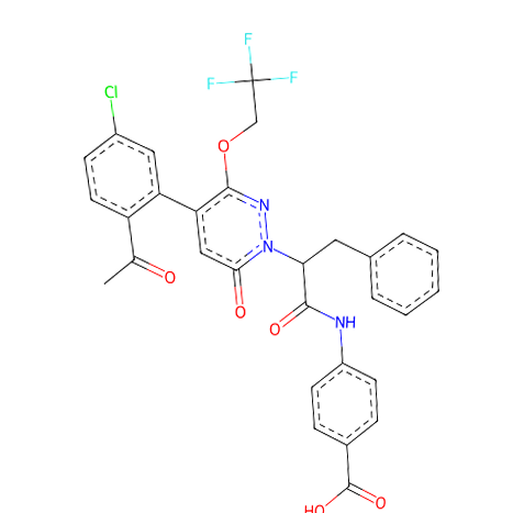 CC(=O)c1ccc(Cl)cc1-c1cc(=O)n(C(Cc2ccccc2)C(=O)Nc2ccc(C(=O)O)cc2)nc1OCC(F)(F)F